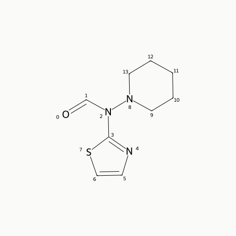 O=CN(c1nccs1)N1CCCCC1